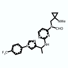 CNC1(CN(C=O)c2ccnc(NC(C)c3cn(-c4ccc(C(F)(F)F)cc4)cn3)n2)CC1